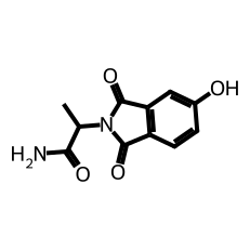 CC(C(N)=O)N1C(=O)c2ccc(O)cc2C1=O